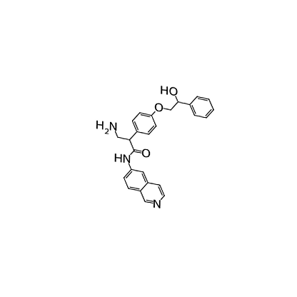 NCC(C(=O)Nc1ccc2cnccc2c1)c1ccc(OCC(O)c2ccccc2)cc1